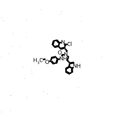 CCOc1ccc(NC(=O)N(CCc2c[nH]c3ccccc23)Cc2cc3ccccc3nc2Cl)cc1